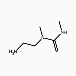 C=C(NC)N(C)CCN